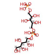 O=P(O)(O)OC[C@@H](O)[C@H](O)[C@@H](O)COP(=O)(O)OC[C@H](O)[C@@H](O)[C@H](O)CO